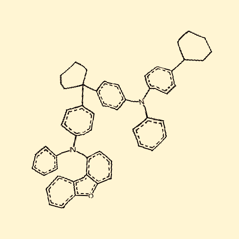 c1ccc(N(c2ccc(C3CCCCC3)cc2)c2ccc(C3(c4ccc(N(c5ccccc5)c5cccc6oc7ccccc7c56)cc4)CCCC3)cc2)cc1